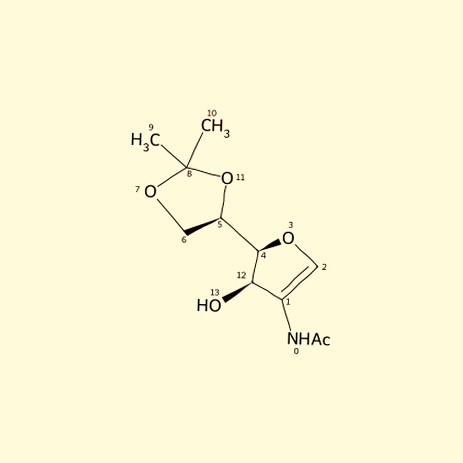 CC(=O)NC1=CO[C@H]([C@H]2COC(C)(C)O2)[C@@H]1O